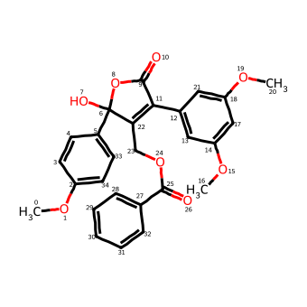 COc1ccc(C2(O)OC(=O)C(c3cc(OC)cc(OC)c3)=C2COC(=O)c2ccccc2)cc1